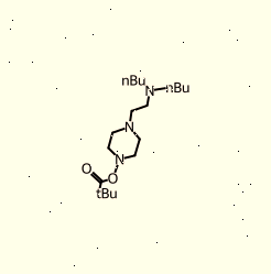 CCCCN(CCCC)CCN1CCN(OC(=O)C(C)(C)C)CC1